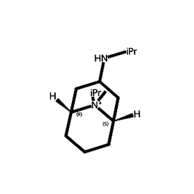 CC(C)NC1C[C@H]2CCC[C@@H](C1)[N+]2(C)C(C)C